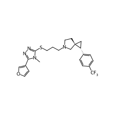 Cn1c(SCCCN2CC[C@]3(C[C@@H]3c3ccc(C(F)(F)F)cc3)C2)nnc1-c1ccoc1